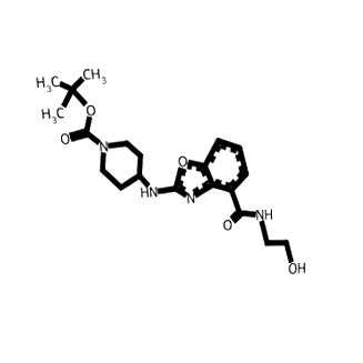 CC(C)(C)OC(=O)N1CCC(Nc2nc3c(C(=O)NCCO)cccc3o2)CC1